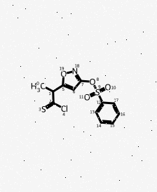 CC(C(=S)Cl)c1cc(OS(=O)(=O)c2ccccc2)no1